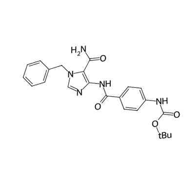 CC(C)(C)OC(=O)Nc1ccc(C(=O)Nc2ncn(Cc3ccccc3)c2C(N)=O)cc1